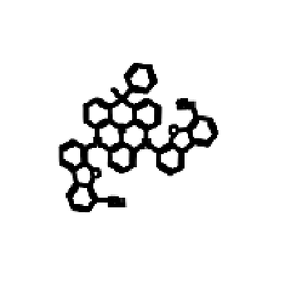 CC(C)(C)c1cccc2c1oc1c(N3c4cccc5c4B4c6c3cccc6C(C)(c3ccccc3)c3cccc(c34)N5c3cccc4c3oc3c(C(C)(C)C)cccc34)cccc12